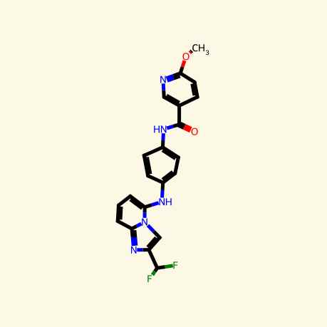 COc1ccc(C(=O)Nc2ccc(Nc3cccc4nc(C(F)F)cn34)cc2)cn1